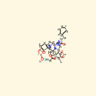 COCOc1c(OC)c(C)cc2c1C1[C@@H]3Cc4c(OC(=O)CF)c(C)c5c(c4[C@H](CNC(=O)CCc4ccccc4)N3[C@@H](C#N)C(C2)N1C)OCO5